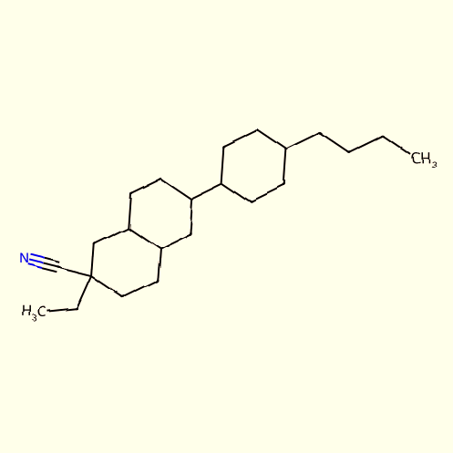 CCCCC1CCC(C2CCC3CC(C#N)(CC)CCC3C2)CC1